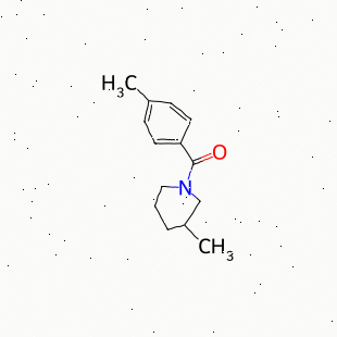 Cc1ccc(C(=O)N2CCCC(C)C2)cc1